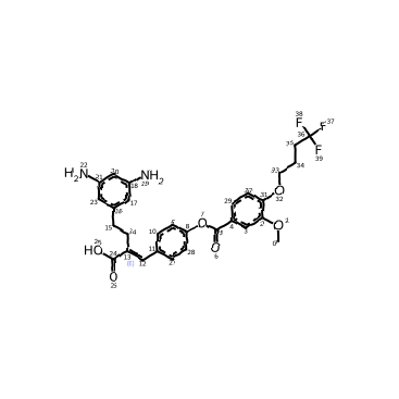 COc1cc(C(=O)Oc2ccc(/C=C(\CCc3cc(N)cc(N)c3)C(=O)O)cc2)ccc1OCCCC(F)(F)F